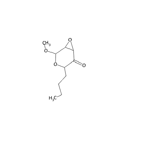 CCCCC1OC(OC)C2OC2C1=O